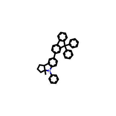 CC12CCCC1c1cc(-c3ccc4c(c3)C(c3ccccc3)(c3ccccc3)c3ccccc3-4)ccc1N2c1ccccc1